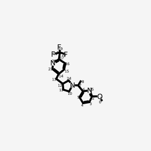 COc1cccc(C(C)N2CCC(Cc3ccc(C(F)(F)F)nc3)C2)n1